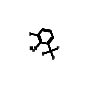 Nc1c(I)cccc1C(F)(F)F